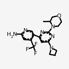 CC1COCCN1c1nc(-c2cnc(N)cc2C(F)(F)F)cc(N2CCC2)n1